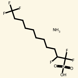 N.O=S(=O)(O)C(F)(F)C(F)CCCCCCCCC(F)(F)F